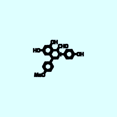 COc1ccc(C2=CN(c3ccc(O)cc3)C(C=O)c3c(O)cc(O)cc32)cc1